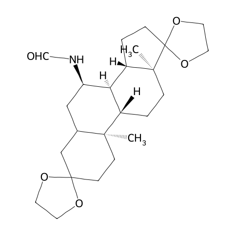 C[C@]12CCC3(CC1C[C@@H](NC=O)[C@@H]1[C@@H]2CC[C@@]2(C)[C@H]1CCC21OCCO1)OCCO3